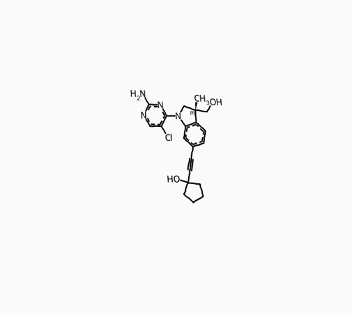 C[C@]1(CO)CN(c2nc(N)ncc2Cl)c2cc(C#CC3(O)CCCC3)ccc21